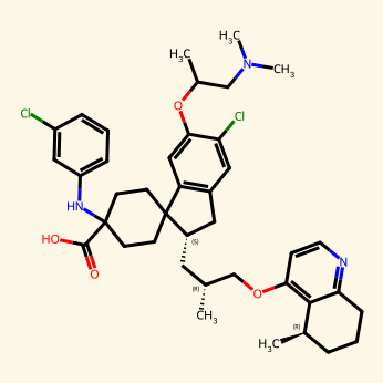 CC(CN(C)C)Oc1cc2c(cc1Cl)C[C@H](C[C@@H](C)COc1ccnc3c1[C@H](C)CCC3)C21CCC(Nc2cccc(Cl)c2)(C(=O)O)CC1